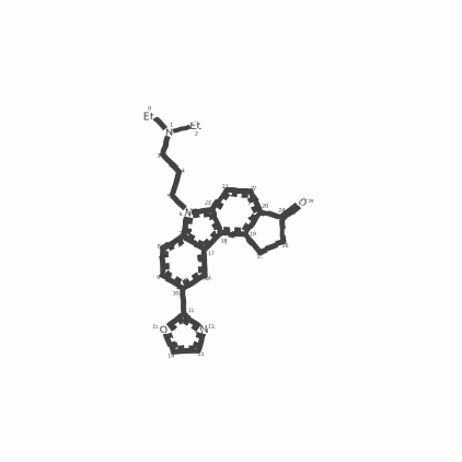 CCN(CC)CCCn1c2ccc(-c3ncco3)cc2c2c3c(ccc21)C(=O)CC3